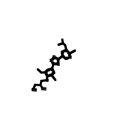 CCc1cc(-c2noc(-c3cnc(C)c(CC(C)C)c3)n2)cc(C)c1OC[C@@H](O)CO